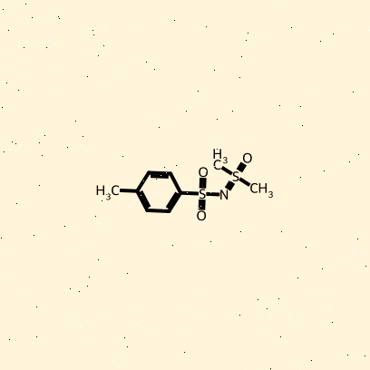 Cc1ccc(S(=O)(=O)N=S(C)(C)=O)cc1